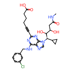 CNC(=O)CC(O)C(O)[C@@H](C1CC1)n1cnc2c(NCc3cccc(Cl)c3)nc(C#CCCCC(=O)O)nc21